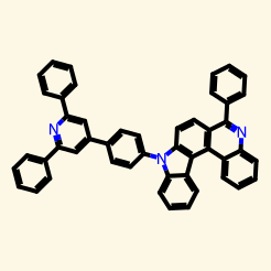 c1ccc(-c2cc(-c3ccc(-n4c5ccccc5c5c6c(ccc54)c(-c4ccccc4)nc4ccccc46)cc3)cc(-c3ccccc3)n2)cc1